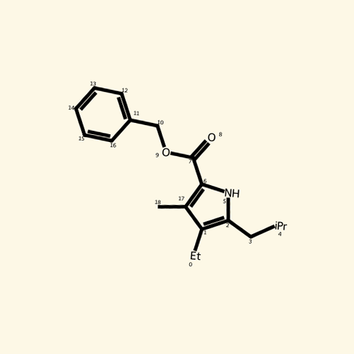 CCc1c(CC(C)C)[nH]c(C(=O)OCc2ccccc2)c1C